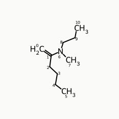 C=C(CCCC)N(C)CCC